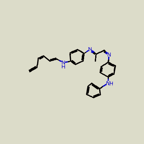 C=C/C=C\C=CNc1ccc(/N=C(C)/C=N\c2ccc(Nc3ccccc3)cc2)cc1